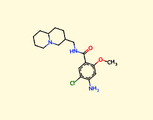 COc1cc(N)c(Cl)cc1C(=O)NCC1CCC2CCCCN2C1